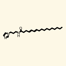 CCCCCCCCCCC=CC=CCCC(=O)NCCCn1ccnc1